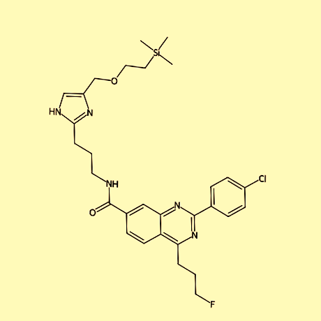 C[Si](C)(C)CCOCc1c[nH]c(CCCNC(=O)c2ccc3c(CCCF)nc(-c4ccc(Cl)cc4)nc3c2)n1